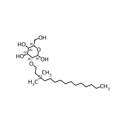 CCCCCCCCCCCC[Si](C)(C)CCO[C@@H]1[C@@H](O)[C@@H](O)[C@@H](CO)O[C@H]1O